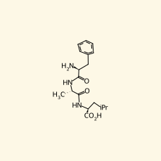 CC(C)C[C@H](NC(=O)[C@H](C)NC(=O)[C@@H](N)Cc1ccccc1)C(=O)O